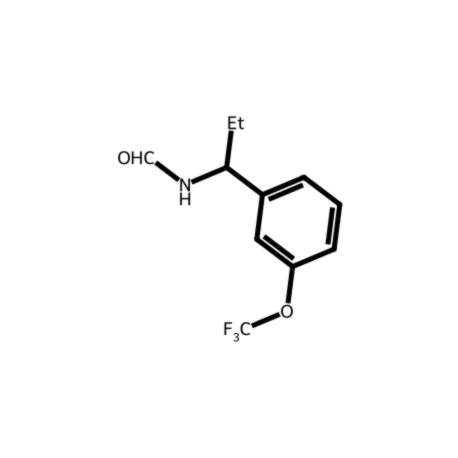 CCC(NC=O)c1cccc(OC(F)(F)F)c1